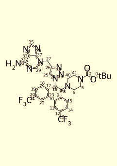 CC(C)(C)OC(=O)N1CCN([C@H](c2ccc(C(F)(F)F)cc2)[C@H](c2ccc(C(F)(F)F)cc2)n2cc(Cn3cnc(N)c4ncnc3-4)nn2)CC1